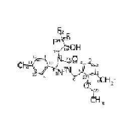 [CH2]c1cccc(Cn2nc(-c3ccc(Cl)cc3)n(C[C@H](O)C(F)(F)F)c2=O)c1OCC